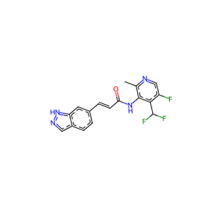 Cc1ncc(F)c(C(F)F)c1NC(=O)/C=C/c1ccc2cn[nH]c2c1